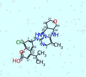 Cc1cnc(Nc2cc(Cl)c3c(c2)C(C(C)C)=CB(O)O3)nc1NC1COCCC1C#N